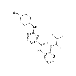 CC(C)(C)C1CCC(Nc2nccc(C(=O)Nc3cnccc3OC(F)C(F)F)n2)CC1